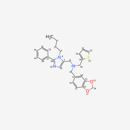 CCCCn1c(CN(Cc2ccc3c(c2)OCO3)Cc2cccs2)cnc1-c1ccccc1